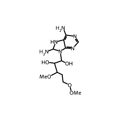 COOCCC(OC)C(O)C(O)N1c2ncnc(N)c2NC1N